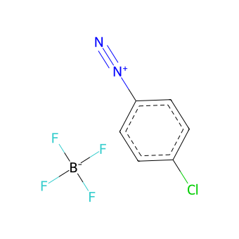 F[B-](F)(F)F.N#[N+]c1ccc(Cl)cc1